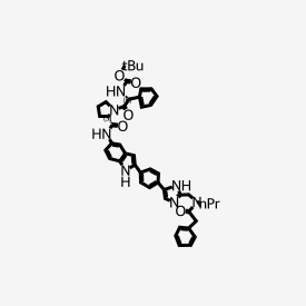 CCCN(Cc1ncc(-c2ccc(-c3cc4cc(NC(=O)[C@@H]5CCCN5C(=O)[C@H](NC(=O)OC(C)(C)C)c5ccccc5)ccc4[nH]3)cc2)[nH]1)C(=O)Cc1ccccc1